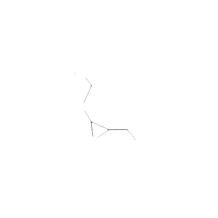 CCOC1OC1CO